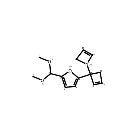 COC(OC)c1ccc(C2(N3C=CC3)C=CC2)o1